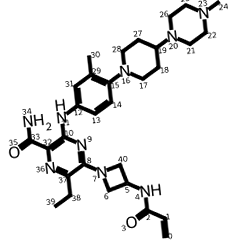 C=CC(=O)NC1CN(c2nc(Nc3ccc(N4CCC(N5CCN(C)CC5)CC4)c(C)c3)c(C(N)=O)nc2CC)C1